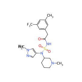 Cc1cc(CC(=O)NS(=O)(=O)N(c2cnn(C)c2)C2CCCN(C)C2)cc(C(F)(F)F)c1.[Na]